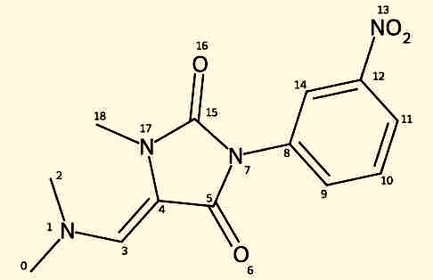 CN(C)/C=C1/C(=O)N(c2cccc([N+](=O)[O-])c2)C(=O)N1C